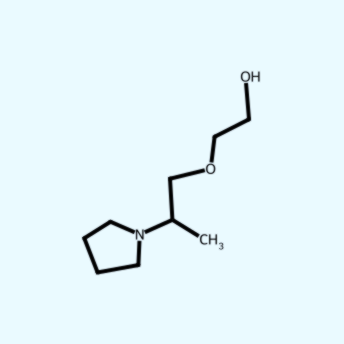 CC(COCCO)N1CCCC1